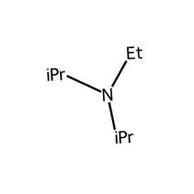 [CH2]CN(C(C)C)C(C)C